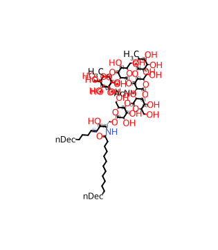 CCCCCCCCCCCCC/C=C/[C@@H](O)[C@H](CO[C@@H]1OC(CO)[C@@H](O[C@@H]2OC(CO)[C@H](O)[C@H](O[C@@H]3OC(CO)[C@@H](O[C@H]4OC(C)[C@@H](O)C(O)[C@@H]4O)[C@H](O[C@@H]4OC(CO)[C@H](O)[C@H](O[C@H]5OC(CO)[C@H](O)[C@H](O)C5O)C4O[C@H]4OC(C)[C@@H](O)C(O)[C@@H]4O)C3NC(C)=O)C2O)[C@H](O)C1O)NC(=O)CCCCCCCCCCCCCCCCCCCCC